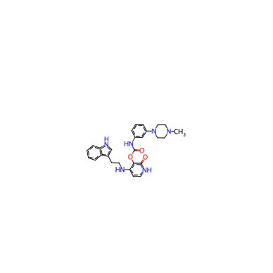 CN1CCN(c2cccc(NC(=O)Oc3c(NCCc4c[nH]c5ccccc45)cc[nH]c3=O)c2)CC1